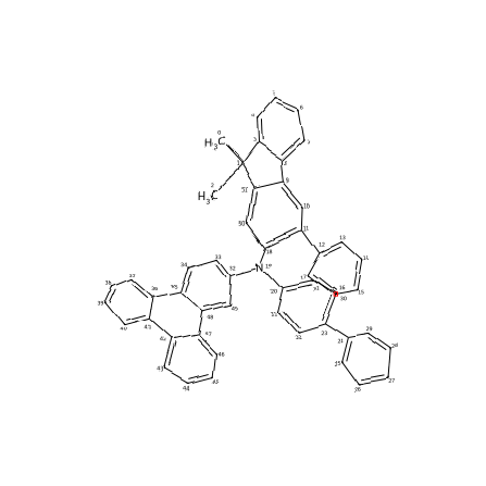 CC1(C)c2ccccc2-c2cc(-c3ccccc3)c(N(c3ccc(-c4ccccc4)cc3)c3ccc4c5ccccc5c5ccccc5c4c3)cc21